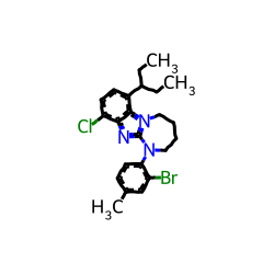 CCC(CC)c1ccc(Cl)c2nc3n(c12)CCCCN3c1ccc(C)cc1Br